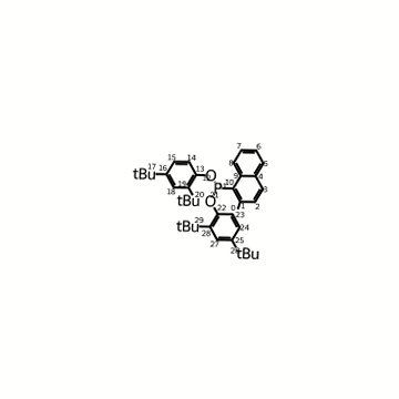 Cc1ccc2ccccc2c1P(Oc1ccc(C(C)(C)C)cc1C(C)(C)C)Oc1ccc(C(C)(C)C)cc1C(C)(C)C